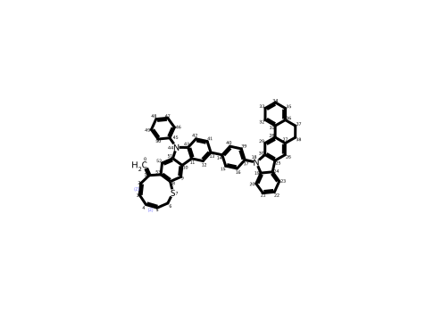 C=C1/C=C\C=C/CSc2cc3c4cc(-c5ccc(-n6c7ccccc7c7cc8c(cc76)-c6ccccc6CC8)cc5)ccc4n(-c4ccccc4)c3cc21